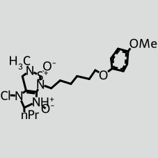 CCCC1N(Cl)C2=C(N(CCCCCCOc3ccc(OC)cc3)[S+]([O-])N(C)C2)[NH+]1[O-]